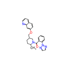 CC1CCC(COc2ccc3cccnc3c2)CN1C(=O)c1ccccc1-n1nccn1